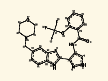 O=C(Nc1c[nH]nc1-c1nc2cc(CN3CCOCC3)ccc2[nH]1)c1ccccc1OC(F)(F)F